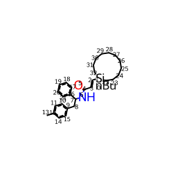 CCCC[Si]1(C=CC(=O)NC(Cc2ccc(C)cc2)c2ccccc2)CCCCCCCCCCC1